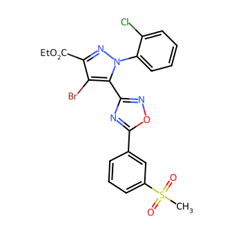 CCOC(=O)c1nn(-c2ccccc2Cl)c(-c2noc(-c3cccc(S(C)(=O)=O)c3)n2)c1Br